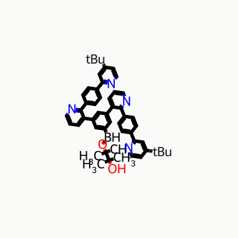 CC(C)(C)c1ccnc(-c2ccc(-c3ncccc3-c3cc(BOC(C)(C)C(C)(C)O)cc(-c4cccnc4-c4ccc(-c5cc(C(C)(C)C)ccn5)cc4)c3)cc2)c1